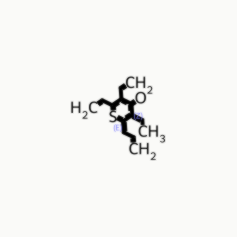 C=C/C=c1/sc(C=C)c(C=C)c(=O)/c1=C/C